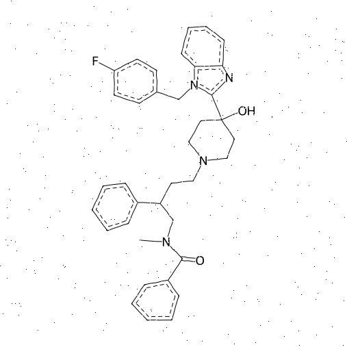 CN(CC(CCN1CCC(O)(c2nc3ccccc3n2Cc2ccc(F)cc2)CC1)c1ccccc1)C(=O)c1ccccc1